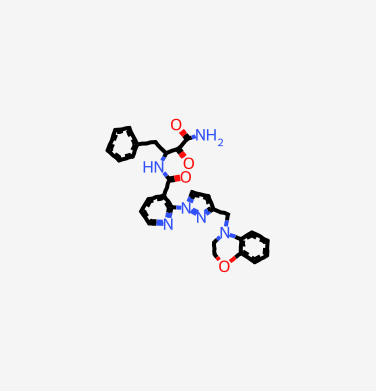 NC(=O)C(=O)C(Cc1ccccc1)NC(=O)c1cccnc1-n1ccc(CN2CCOc3ccccc32)n1